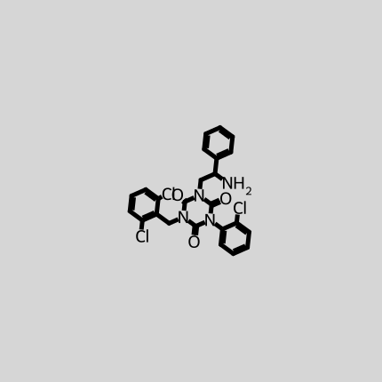 NC(Cn1c(=O)n(Cc2c(Cl)cccc2Cl)c(=O)n(-c2ccccc2Cl)c1=O)c1ccccc1